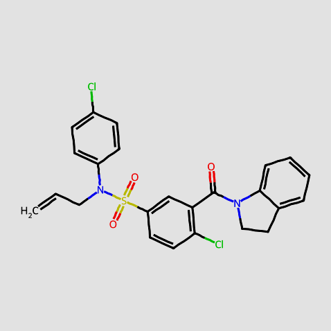 C=CCN(c1ccc(Cl)cc1)S(=O)(=O)c1ccc(Cl)c(C(=O)N2CCc3ccccc32)c1